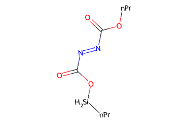 CCCOC(=O)/N=N/C(=O)O[SiH2]CCC